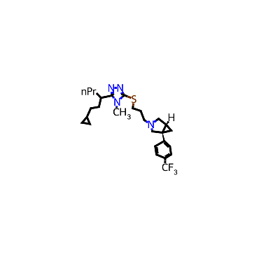 CCCC(CCC1CC1)c1nnc(SCCCN2C[C@@H]3C[C@]3(c3ccc(C(F)(F)F)cc3)C2)n1C